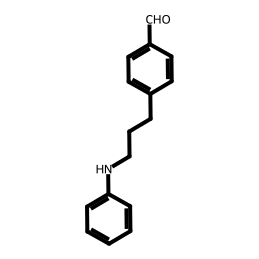 O=Cc1ccc(CCCNc2ccccc2)cc1